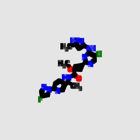 CO[C@]1(C(=O)N[C@@H](C)c2ccc(-n3cc(F)cn3)nc2)C[C@H](c2ncc(Cl)c(Nc3cc(C)[nH]n3)n2)C1